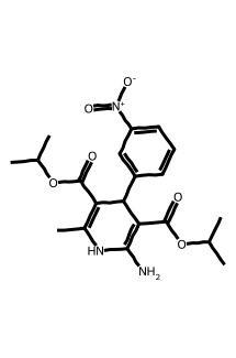 CC1=C(C(=O)OC(C)C)C(c2cccc([N+](=O)[O-])c2)C(C(=O)OC(C)C)=C(N)N1